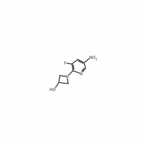 O=[N+]([O-])c1cnc(N2CC(O)C2)c(F)c1